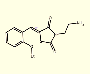 CCOc1ccccc1/C=C1\SC(=O)N(CCN)C1=O